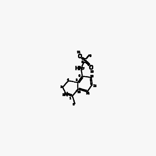 CC1=NCCc2c(NS(C)(=O)=O)cccc21